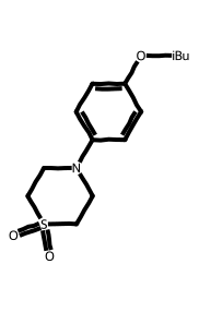 CCC(C)Oc1ccc(N2CCS(=O)(=O)CC2)cc1